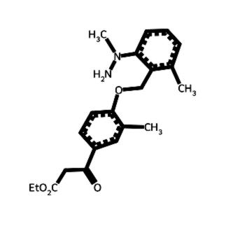 CCOC(=O)CC(=O)c1ccc(OCc2c(C)cccc2N(C)N)c(C)c1